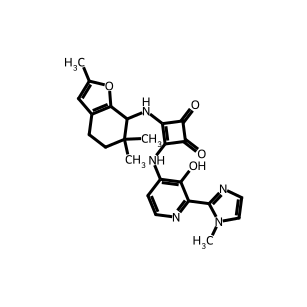 Cc1cc2c(o1)C(Nc1c(Nc3ccnc(-c4nccn4C)c3O)c(=O)c1=O)C(C)(C)CC2